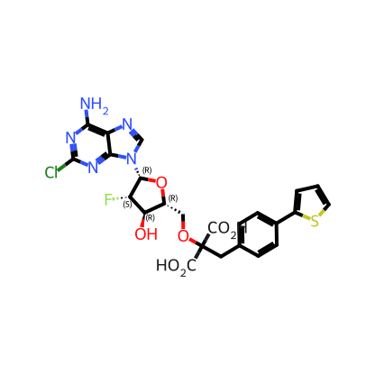 Nc1nc(Cl)nc2c1ncn2[C@@H]1O[C@H](COC(Cc2ccc(-c3cccs3)cc2)(C(=O)O)C(=O)O)[C@@H](O)[C@@H]1F